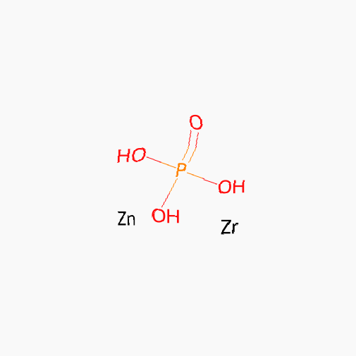 O=P(O)(O)O.[Zn].[Zr]